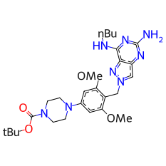 CCCCNc1nc(N)nc2cn(Cc3c(OC)cc(N4CCN(C(=O)OC(C)(C)C)CC4)cc3OC)nc12